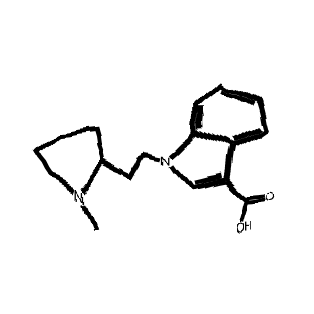 CN1CCCCC1CCn1cc(C(=O)O)c2ccccc21